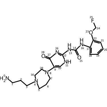 NCCCN1CCCN(c2c[nH]c(NC(=O)Nc3ccccc3OCF)nc2=O)CC1